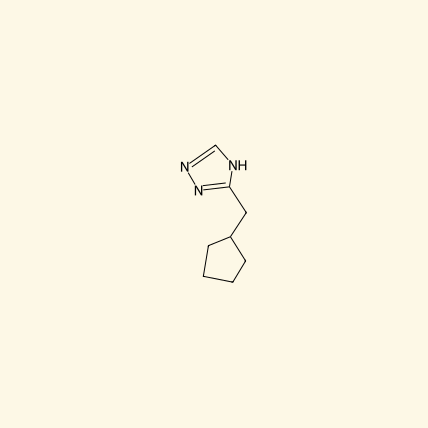 c1nnc(CC2CCCC2)[nH]1